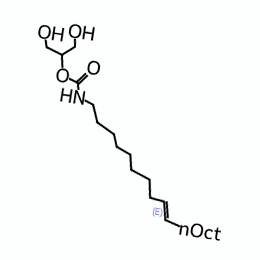 CCCCCCCC/C=C/CCCCCCCCNC(=O)OC(CO)CO